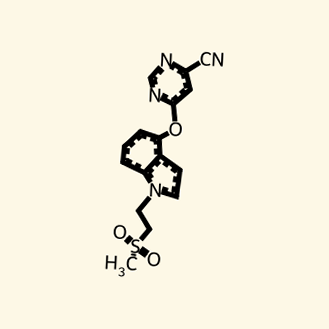 CS(=O)(=O)CCn1ccc2c(Oc3cc(C#N)ncn3)cccc21